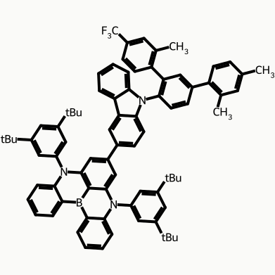 Cc1ccc(-c2ccc(-n3c4ccccc4c4cc(-c5cc6c7c(c5)N(c5cc(C(C)(C)C)cc(C(C)(C)C)c5)c5ccccc5B7c5ccccc5N6c5cc(C(C)(C)C)cc(C(C)(C)C)c5)ccc43)c(-c3ccc(C(F)(F)F)cc3C)c2)c(C)c1